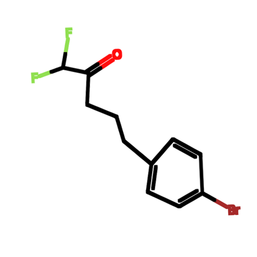 O=C(CCCc1ccc(Br)cc1)C(F)F